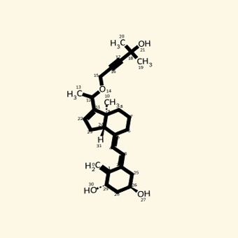 C=C1/C(=C\C=C2/CCC[C@]3(C)C(C(C)OCC#CC(C)(C)O)=CC[C@@H]23)C[C@@H](O)C[C@@H]1O